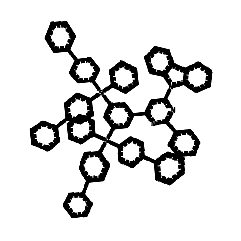 c1ccc(-c2ccc([Si](c3ccccc3)(c3ccc(-c4ccccc4)cc3)c3cc(-c4cc(-n5c6ccccc6c6ccccc65)nc(-c5ccccc5)n4)cc([Si](c4ccccc4)(c4ccc(-c5ccccc5)cc4)c4ccc(-c5ccccc5)cc4)c3)cc2)cc1